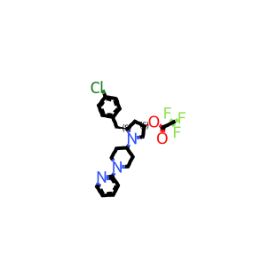 O=C(O[C@H]1C[C@H](Cc2ccc(Cl)cc2)N(C2CCN(c3ccccn3)CC2)C1)C(F)(F)F